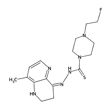 Cc1ccnc2c1NCC/C2=N/NC(=S)N1CCN(CCF)CC1